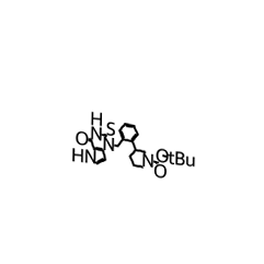 CC(C)(C)OC(=O)N1CCCC(c2ccccc2Cn2c(=S)[nH]c(=O)c3[nH]ccc32)C1